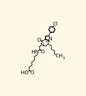 CCCCCC1CN(CC(=O)NCCCCCCC(=O)O)C(=O)c2cc(-c3ccc(Cl)cc3)nn21